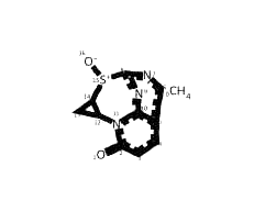 C.O=c1ccc2cnc3nc2n1C1CC1[S+]3[O-]